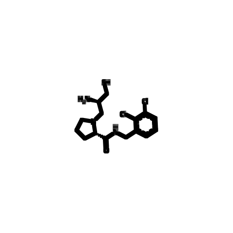 N[C@@H](CS)CN1CCC[C@H]1C(=O)NCc1cccc(Cl)c1Cl